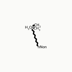 C=C[N+](C)(C)CCCCCCCCCCCCCCCCCC